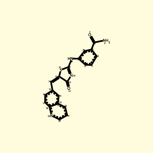 NC(=O)c1cccc(NC2=NC(=O)C(=Cc3ccc4ncccc4c3)S2)c1